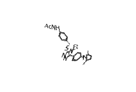 CCn1c(SCc2ccc(NC(C)=O)cc2)nnc1-c1ccc(-n2c(C)ccc2C)cc1